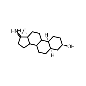 C[C@]12CCC3C(CC[C@@H]4C[C@H](O)CC[C@H]34)C1CCC2=N